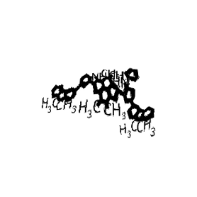 CC1c2cc(-c3cc(-c4ccc5c(c4)C4C=CC=CC4C5(C)C)ccc3Nc3ccccc3)cc3c2-c2c(cc4c([nH]c5ccc(-c6ccc7c(c6)-c6ccccc6C7(C)C)cc54)c2C(C)C3C)C1C